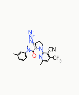 Cc1cccc(N(C)C(=O)[C@@H]2[C@H](N=[N+]=[N-])CCN2c2nc(C)cc(C(F)(F)F)c2C#N)c1